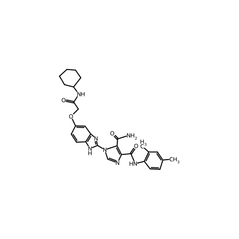 Cc1ccc(NC(=O)c2ncn(-c3nc4cc(OCC(=O)NC5CCCCC5)ccc4[nH]3)c2C(N)=O)c(C)c1